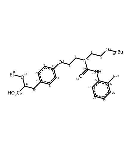 CCCCOCCN(CCOc1ccc(CC(OCC)C(=O)O)cc1)C(=O)Nc1ccccc1F